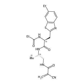 C=C(C#N)C(=O)NC[C@@H](NC(=O)[C@H](Cc1nc2ccc(CC)cc2s1)NC(=O)CC)[C@@H](C)CC